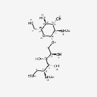 CC(=O)N[C@H]1[C@H](OC[C@@H](O)[C@@H](O)[C@H](O)[C@H](CC(C)(C)C)NC(C)=O)O[C@H](CO)[C@@H](O)[C@@H]1O